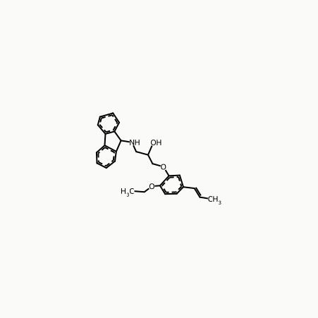 C/C=C/c1ccc(OCC)c(OCC(O)CNC2c3ccccc3-c3ccccc32)c1